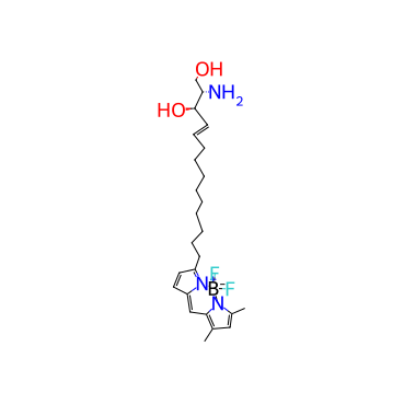 Cc1cc(C)n2c1C=C1C=CC(CCCCCCCCC/C=C/[C@@H](O)[C@@H](N)CO)=[N+]1[B-]2(F)F